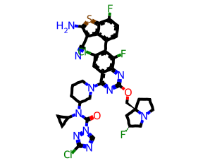 N#Cc1c(N)sc2c(F)ccc(-c3c(Cl)cc4c(N5CCCC(N(C(=O)n6cnc(Cl)n6)C6CC6)C5)nc(OC[C@@]56CCCN5C[C@H](F)C6)nc4c3F)c12